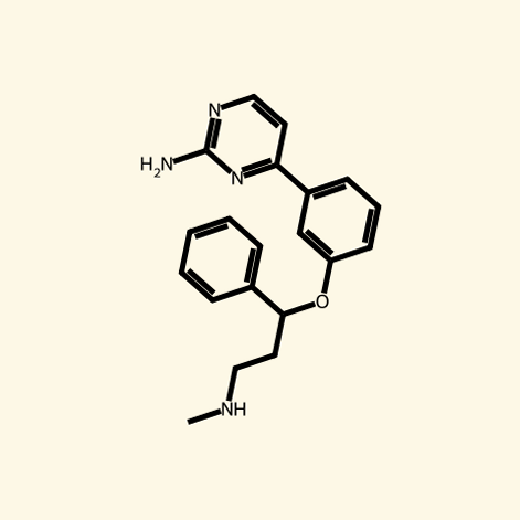 CNCCC(Oc1cccc(-c2ccnc(N)n2)c1)c1ccccc1